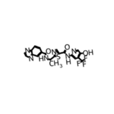 C[C@@H](NC(=O)c1ccc2nccnc2c1)c1ncc(C(=O)Nc2cc(C(F)(F)F)c(O)cn2)s1